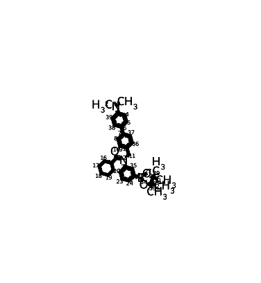 CN(C)c1ccc(-c2ccc(CN(C(=O)C3CCCCC3)c3cccc(B4OC(C)(C)C(C)(C)O4)c3)cc2)cc1